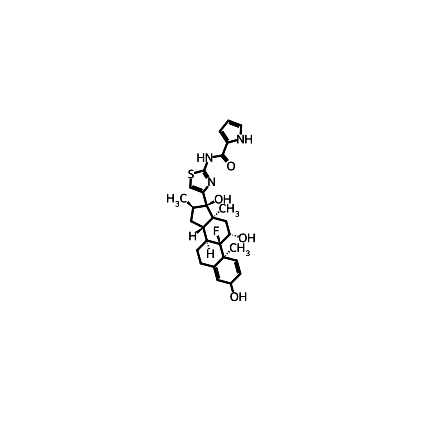 C[C@@H]1C[C@H]2[C@@H]3CCC4=CC(O)C=C[C@]4(C)[C@@]3(F)[C@@H](O)C[C@]2(C)[C@@]1(O)c1csc(NC(=O)c2ccc[nH]2)n1